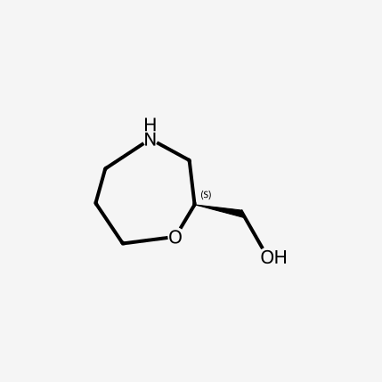 OC[C@@H]1CNCCCO1